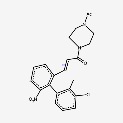 CC(=O)N1CCN(C(=O)/C=C/c2cc[c]c([N+](=O)[O-])c2-c2cccc(Cl)c2C)CC1